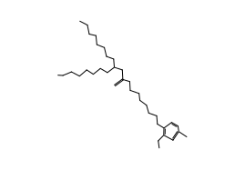 C=C(CCCCCCCCc1ccc(C)cc1CC)CC(CCCCCCCC)CCCCCCCC